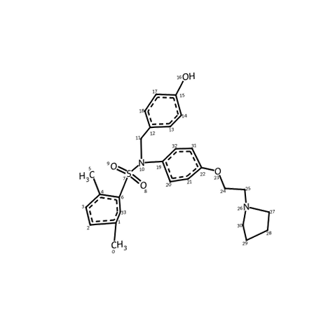 Cc1ccc(C)c(S(=O)(=O)N(Cc2ccc(O)cc2)c2ccc(OCCN3CCCC3)cc2)c1